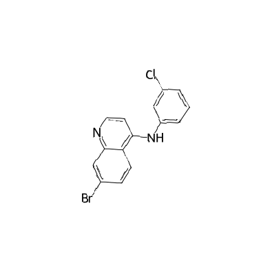 Clc1cccc(Nc2ccnc3cc(Br)ccc23)c1